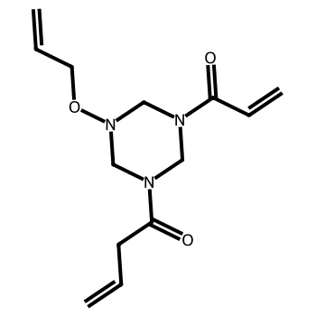 C=CCON1CN(C(=O)C=C)CN(C(=O)CC=C)C1